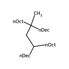 CCCCCCCCCCC(CCCCCCCC)CC(C)(CCCCCCCC)CCCCCCCCCC